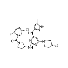 CCN1CCN(c2cc(Nc3cc(C)[nH]n3)nc(NC3CCN(C(=O)c4cc(Cl)ccc4F)C3)n2)CC1